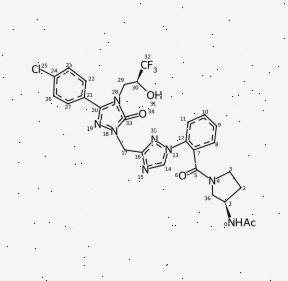 CC(=O)N[C@@H]1CCN(C(=O)c2ccccc2-n2cnc(Cn3nc(-c4ccc(Cl)cc4)n(C[C@H](O)C(F)(F)F)c3=O)n2)C1